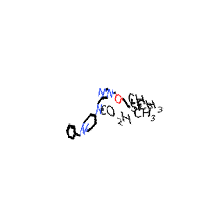 C[Si](C)(C)CCOCn1cnc(CN(C(=O)O)C2CCN(Cc3ccccc3)CC2)c1